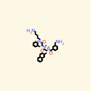 CN(C(=O)c1cccc(CN)c1)[C@H](Cc1ccc2ccccc2c1)C(=O)N(C)[C@H](Cc1ccccc1)C(=O)NCCCCCN